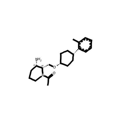 CC(=O)N1CCC[C@H](N)[C@@H]1CO[C@H]1CC[C@@H](c2ccccc2C)CC1